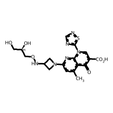 Cc1cc(N2CC(NOC[C@H](O)CO)C2)nc2c1c(=O)c(C(=O)O)cn2-c1ncns1